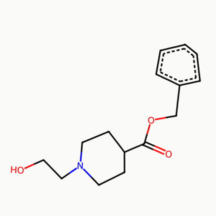 O=C(OCc1ccccc1)C1CCN(CCO)CC1